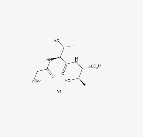 CCCCCCCCCCCC(=O)N[C@H](C(=O)N[C@H](C(=O)O)[C@@H](C)O)[C@@H](C)O.[Na]